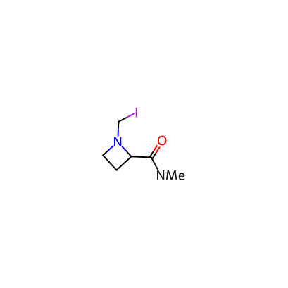 CNC(=O)C1CCN1CI